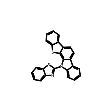 c1ccc2sc(-n3c4ccccc4c4ccc5c6ccccc6sc5c43)nc2c1